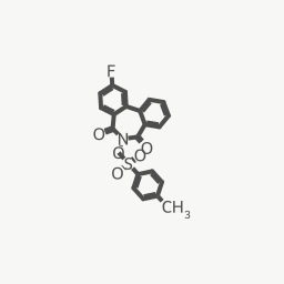 Cc1ccc(S(=O)(=O)On2c(=O)c3ccccc3c3cc(F)ccc3c2=O)cc1